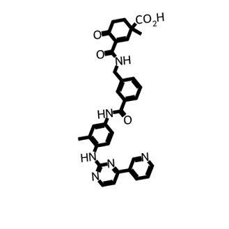 Cc1cc(NC(=O)c2cccc(CNC(=O)C3=CC(C)(C(=O)O)CCC3=O)c2)ccc1Nc1nccc(-c2cccnc2)n1